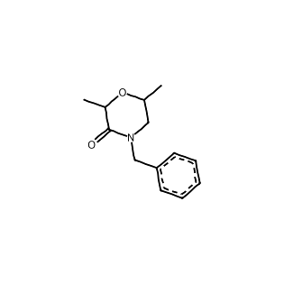 CC1CN(Cc2ccccc2)C(=O)C(C)O1